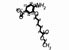 CCOC(=O)CCCCCOc1cc([N+](=O)[O-])ccc1N